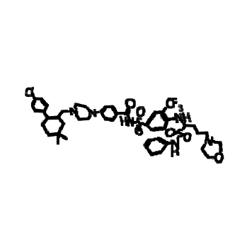 CC1(C)CCC(c2ccc(Cl)cc2)=C(CN2CCN(c3ccc(C(=O)NS(=O)(=O)c4ccc(NC(CCCN5CCOCC5)S(=O)(=O)Nc5ccccc5)c(C(F)(F)F)c4)cc3)CC2)C1